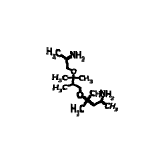 CC(N)COC(C)(C)C(C)COC(C)(C)CC(C)N